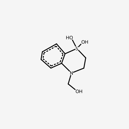 OCN1CCS(O)(O)c2ccccc21